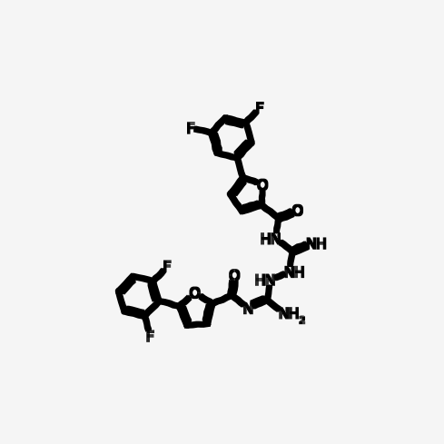 N=C(NNC(N)=NC(=O)c1ccc(-c2c(F)cccc2F)o1)NC(=O)c1ccc(-c2cc(F)cc(F)c2)o1